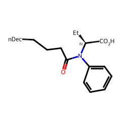 CCCCCCCCCCCCCC(=O)N(c1ccccc1)[C@@H](CC)C(=O)O